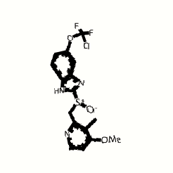 COc1ccnc(C[S+]([O-])c2nc3cc(OC(F)(F)Cl)ccc3[nH]2)c1C